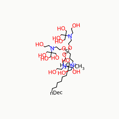 CCCCCCCCCCCCCCCCCC[N+](C)(C)CCC[Si](OCCN(CCO)C(CO)(CO)CO)(OCCN(CCO)C(CO)(CO)CO)OCCN(CCO)C(CO)(CO)CO